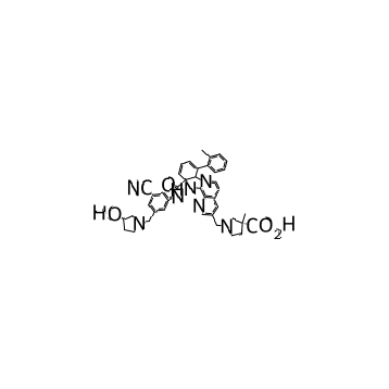 Cc1ccccc1C1=CC=CC(Nc2nccc3cc(CN4CC[C@@](C)(C(=O)O)C4)cnc23)(c2nc3cc(CN4CC[C@@H](O)C4)cc(C#N)c3o2)C1C